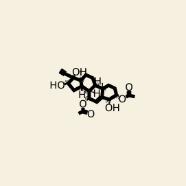 C#C[C@]1(O)[C@H](O)C[C@H]2[C@@H]3[C@@H](OC(C)=O)C=C4[C@@H](O)[C@@H](OC(C)=O)CC[C@]4(C)[C@H]3CC[C@@]21C